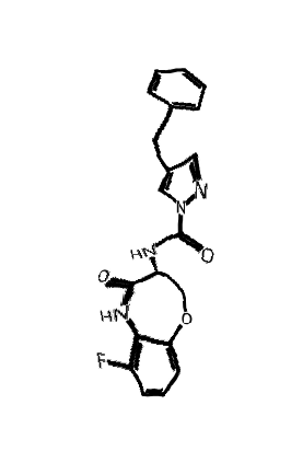 O=C1Nc2c(F)cccc2OC[C@@H]1NC(=O)n1cc(Cc2ccccc2)cn1